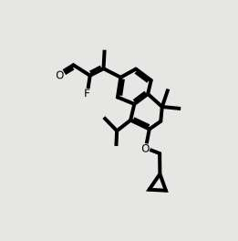 CC(=C(F)C=O)c1ccc2c(c1)C(C(C)C)=C(OCC1CC1)CC2(C)C